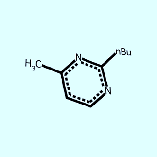 CCCCc1nccc(C)n1